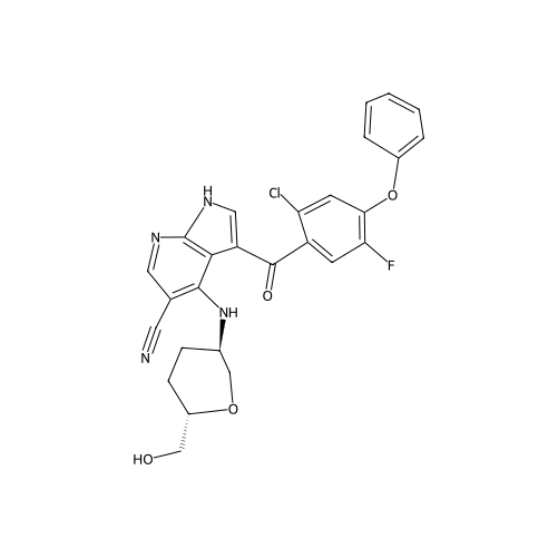 N#Cc1cnc2[nH]cc(C(=O)c3cc(F)c(Oc4ccccc4)cc3Cl)c2c1N[C@@H]1CC[C@@H](CO)OC1